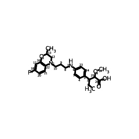 CCC(c1ccc(NCCCN2CC(C)Oc3cc(F)ccc32)cc1)C(OC)C(=O)O